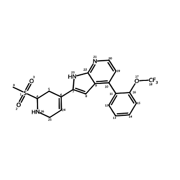 CS(=O)(=O)C1CC(c2cc3c(-c4ccccc4OC(F)(F)F)ccnc3[nH]2)=CCN1